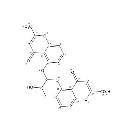 CC(O)C(Oc1cccc2oc(C(=O)O)cc(=O)c12)Oc1cccc2oc(C(=O)O)cc(=O)c12